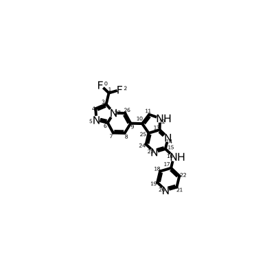 FC(F)c1cnc2ccc(-c3c[nH]c4nc(Nc5ccncc5)ncc34)cn12